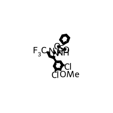 COc1c(Cl)cc(-c2cc(C(F)(F)F)nn2NS(=O)(=O)c2ccccc2)cc1Cl